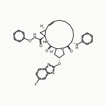 O=C1N[C@]2(C(=O)NOc3ccccc3)C[C@H]2/C=C\CCCCC[C@H](Nc2ccccc2)C(=O)N2C[C@H](Oc3nc4ccc(F)cc4s3)C[C@@H]12